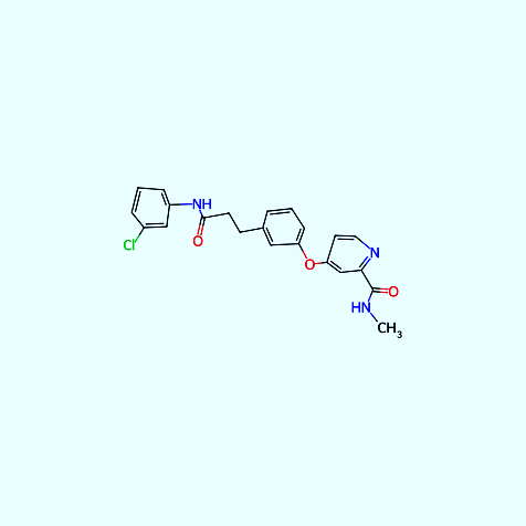 CNC(=O)c1cc(Oc2cccc(CCC(=O)Nc3cccc(Cl)c3)c2)ccn1